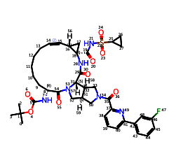 CC(C)(C)OC(=O)N[C@@H]1CCCCC/C=C\[C@@H]2C[C@@]2(C(=O)NS(=O)(=O)C2CC2)NC(=O)[C@@H]2[C@H]3CN(C(=O)c4cccc(-c5cccc(F)c5)n4)C[C@H]3CN2C1=O